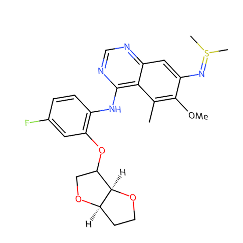 COc1c(N=S(C)C)cc2ncnc(Nc3ccc(F)cc3OC3CO[C@@H]4CCO[C@H]34)c2c1C